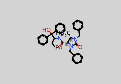 CC(C)CC(N(C)C(=O)[C@@H]1[C@H](C(=O)O)N(Cc2ccccc2)C(=O)N1Cc1ccccc1)C(O)(c1ccccc1)c1ccccc1